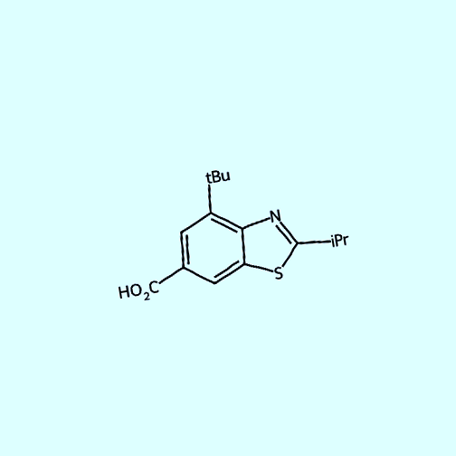 CC(C)c1nc2c(C(C)(C)C)cc(C(=O)O)cc2s1